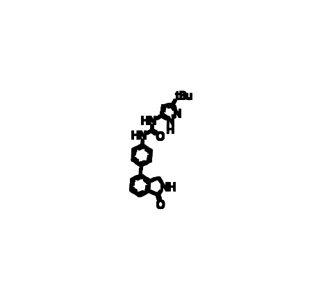 CC(C)(C)c1cc(NC(=O)Nc2ccc(-c3cccc4c3CNC4=O)cc2)[nH]n1